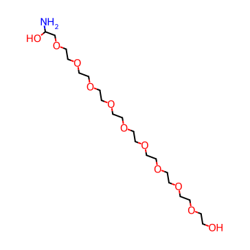 NC(O)COCCOCCOCCOCCOCCOCCOCCOCCOCCO